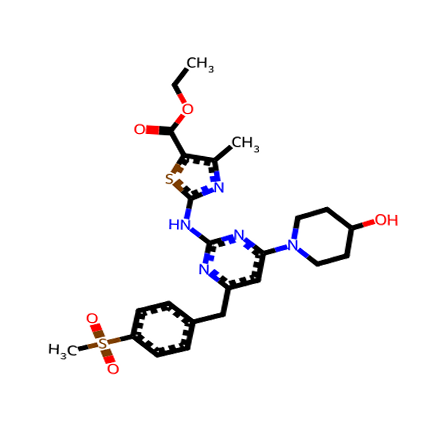 CCOC(=O)c1sc(Nc2nc(Cc3ccc(S(C)(=O)=O)cc3)cc(N3CCC(O)CC3)n2)nc1C